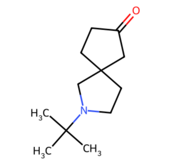 CC(C)(C)N1CCC2(CCC(=O)C2)C1